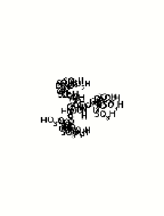 O=S(=O)(O)OC[C@H]1O[C@@H](Oc2ccc(NS(=O)(=O)c3cc(S(=O)(=O)Nc4ccc(O[C@@H]5O[C@H](COS(=O)(=O)O)[C@@H](OS(=O)(=O)O)[C@H](OS(=O)(=O)O)[C@H]5OS(=O)(=O)O)cc4)cc(S(=O)(=O)Nc4ccc(O[C@@H]5O[C@H](COS(=O)(=O)O)[C@@H](OS(=O)(=O)O)[C@H](OS(=O)(=O)O)[C@H]5OS(=O)(=O)O)cc4)c3)cc2)[C@H](OS(=O)(=O)O)[C@@H](OS(=O)(=O)O)[C@@H]1OS(=O)(=O)O